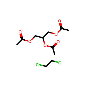 CC(=O)OCC(COC(C)=O)OC(C)=O.ClCCCl